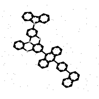 c1ccc2c(c1)Sc1cc(-c3c4ccccc4c(-c4ccc(-c5cccc6ccccc56)cc4)c4ccccc34)cc3c1B2c1ccc(-n2c4ccccc4c4ccccc42)cc1S3